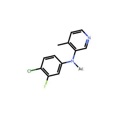 CC(=O)N(c1ccc(Cl)c(F)c1)c1cnccc1C